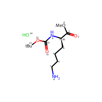 COC(=O)[C@@H](CCCCN)NC(=O)OC(C)(C)C.Cl